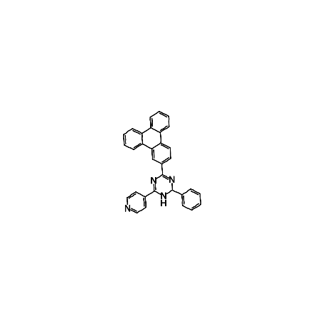 c1ccc(C2N=C(c3ccc4c5ccccc5c5ccccc5c4c3)N=C(c3ccncc3)N2)cc1